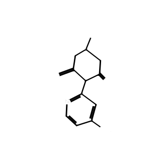 Cc1ccnc(C2C(=O)CC(C)CC2=O)c1